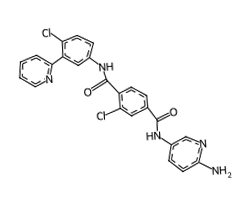 Nc1ccc(NC(=O)c2ccc(C(=O)Nc3ccc(Cl)c(-c4ccccn4)c3)c(Cl)c2)cn1